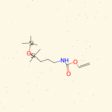 C=COC(=O)NCCC[Si](C)(C)O[Si](C)(C)C